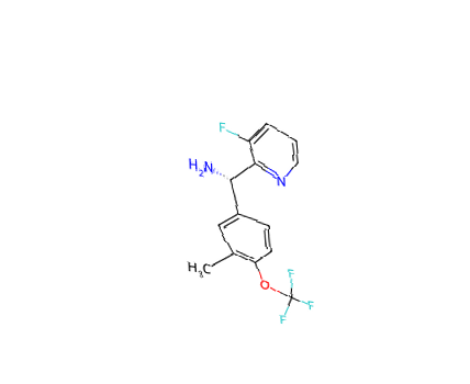 Cc1cc([C@H](N)c2ncccc2F)ccc1OC(F)(F)F